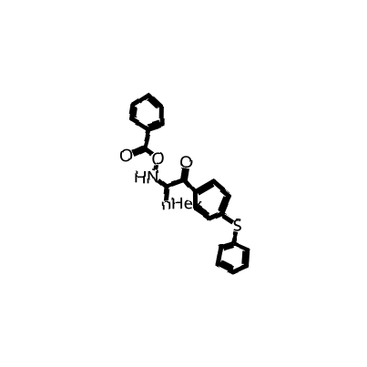 CCCCCCC(NOC(=O)c1ccccc1)C(=O)c1ccc(Sc2ccccc2)cc1